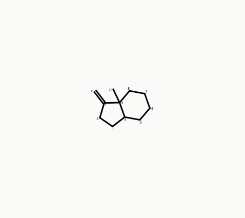 C=C1CCC2CCCCC12C